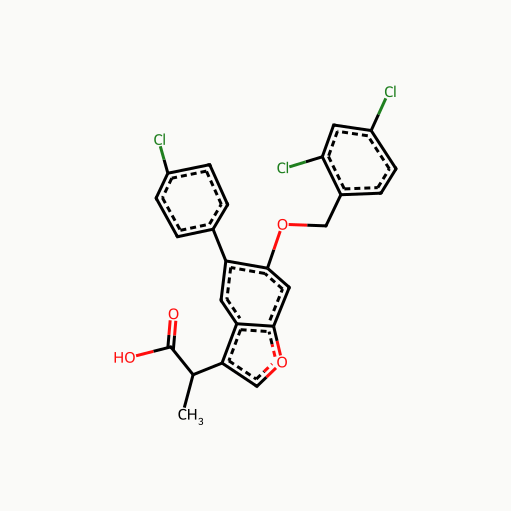 CC(C(=O)O)c1coc2cc(OCc3ccc(Cl)cc3Cl)c(-c3ccc(Cl)cc3)cc12